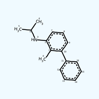 Cc1c(NC(C)C)cccc1-c1ccccc1